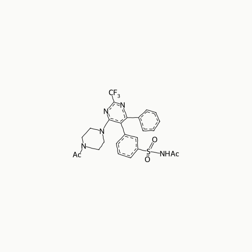 CC(=O)NS(=O)(=O)c1cccc(-c2c(-c3ccccc3)nc(C(F)(F)F)nc2N2CCN(C(C)=O)CC2)c1